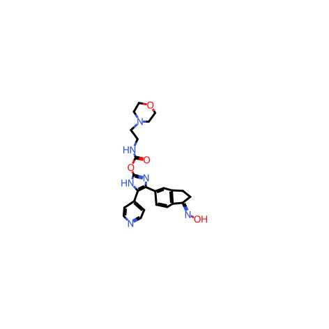 O=C(NCCN1CCOCC1)Oc1nc(-c2ccc3c(c2)CCC3=NO)c(-c2ccncc2)[nH]1